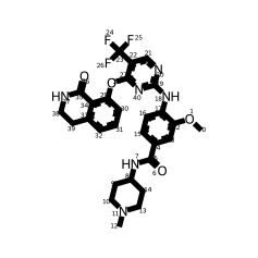 COc1cc(C(=O)NC2CCN(C)CC2)ccc1Nc1ncc(C(F)(F)F)c(Oc2cccc3c2C(=O)NCC3)n1